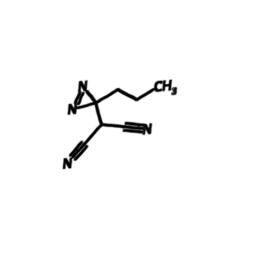 CCCC1(C(C#N)C#N)N=N1